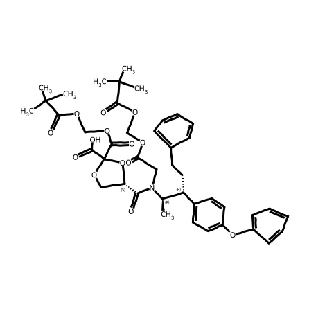 C[C@H]([C@H](CCc1ccccc1)c1ccc(Oc2ccccc2)cc1)N(CC(=O)OCOC(=O)C(C)(C)C)C(=O)[C@@H]1COC(C(=O)O)(C(=O)OCOC(=O)C(C)(C)C)O1